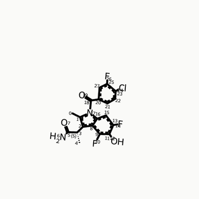 Cc1c([C@H](C)C(N)=O)c2c(F)c(O)c(F)cc2n1C(=O)c1ccc(Cl)c(F)c1